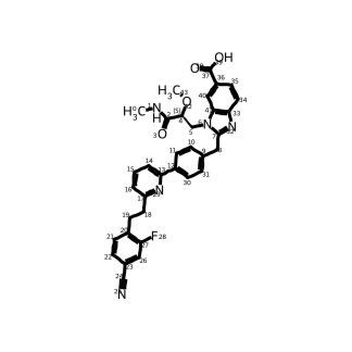 CNC(=O)[C@H](Cn1c(Cc2ccc(-c3cccc(CCc4ccc(C#N)cc4F)n3)cc2)nc2ccc(C(=O)O)cc21)OC